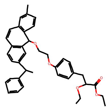 CCOC(=O)C(Cc1ccc(OCCOC2c3ccc(C)cc3C=Cc3ccc(C(C)c4ccccc4)cc32)cc1)OCC